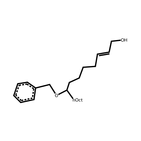 CCCCCCCCC(CCCCC=CCO)OCc1ccccc1